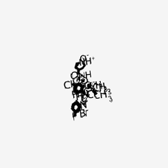 CC(C)(C)[Si](C)(C)Oc1c(N=C=Nc2cccc(F)c2Br)ccc(Cl)c1S(=O)(=O)NC(=O)C1CC[NH+]([O-])CC1